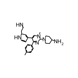 Cc1ccc(C2=NC(N3CCC(N)CC3)N(C)C=C2C2=CC(CC=N)NC=C2)cc1